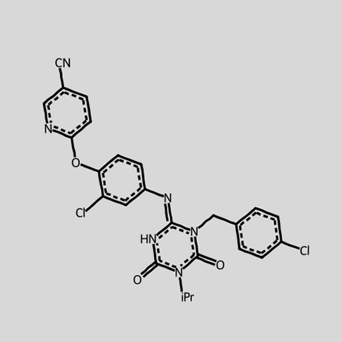 CC(C)n1c(=O)[nH]/c(=N\c2ccc(Oc3ccc(C#N)cn3)c(Cl)c2)n(Cc2ccc(Cl)cc2)c1=O